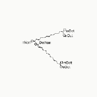 CCCCCCCCCOC(C=CCCCCCCCCCC(OCCCCCCCC)OCCCCCCCC)OC(C=CCCCCCCCCCC(OCCCCCCCC)OCCCCCCCC)OCCCCCCCCC